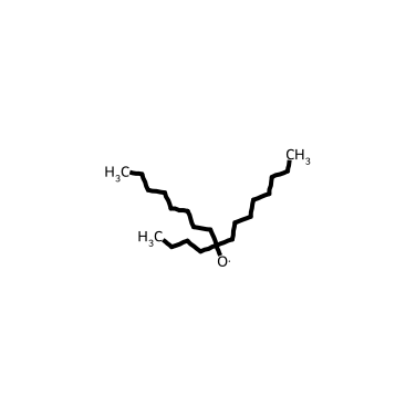 CCCCCCCCC([O])(CCCC)CCCCCCCC